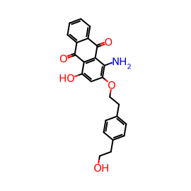 Nc1c(OCCc2ccc(CCO)cc2)cc(O)c2c1C(=O)c1ccccc1C2=O